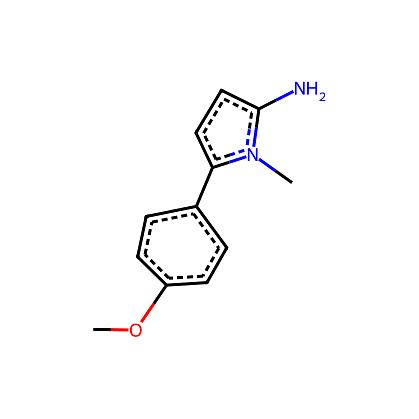 COc1ccc(-c2ccc(N)n2C)cc1